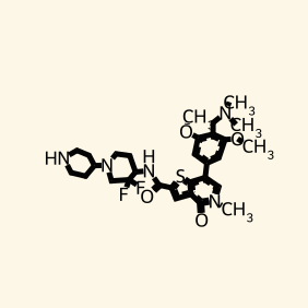 COc1cc(-c2cn(C)c(=O)c3cc(C(=O)NC4CCN(C5CCNCC5)CC4(F)F)sc23)cc(OC)c1CN(C)C